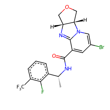 C[C@@H](NC(=O)C1=CC(Br)=CN2C1=N[C@@H]1COC[C@@H]12)c1cccc(C(F)(F)F)c1F